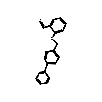 O=Cc1ccccc1OCc1ccc(-c2ccccc2)cc1